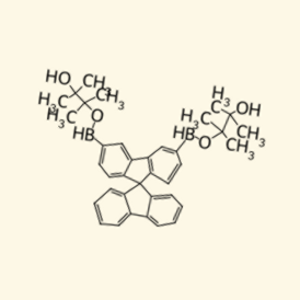 CC(C)(O)C(C)(C)OBc1ccc2c(c1)-c1cc(BOC(C)(C)C(C)(C)O)ccc1C21c2ccccc2-c2ccccc21